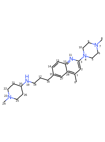 Cc1cc(N2CCN(C)CC2)nc2ccc(CCCNC3CCN(C)CC3)cc12